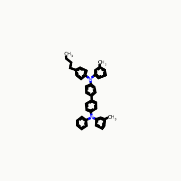 CCCCc1ccc(N(c2ccc(-c3ccc(N(c4ccccc4)c4cccc(C)c4)cc3)cc2)c2cccc(C)c2)cc1